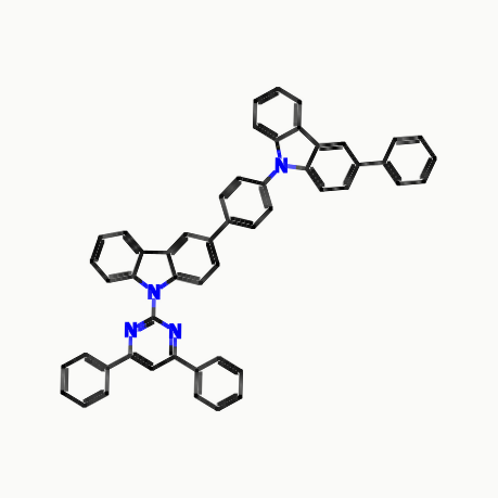 c1ccc(-c2ccc3c(c2)c2ccccc2n3-c2ccc(-c3ccc4c(c3)c3ccccc3n4-c3nc(-c4ccccc4)cc(-c4ccccc4)n3)cc2)cc1